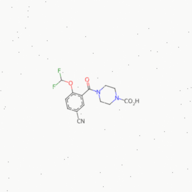 N#Cc1ccc(OC(F)F)c(C(=O)N2CCN(C(=O)O)CC2)c1